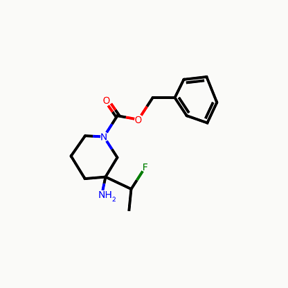 CC(F)C1(N)CCCN(C(=O)OCc2ccccc2)C1